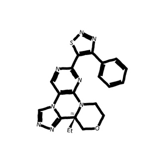 CC[C@]12COCCN1c1nc(-c3snnc3-c3ccccc3)ncc1-n1cnnc12